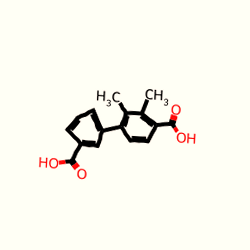 Cc1c(C(=O)O)ccc(-c2cccc(C(=O)O)c2)c1C